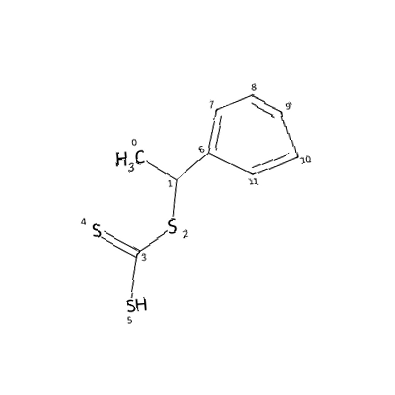 CC(SC(=S)S)c1ccccc1